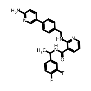 CC(NC(=O)c1cccnc1NCc1ccc(-c2ccc(N)nc2)cc1)c1ccc(F)c(F)c1